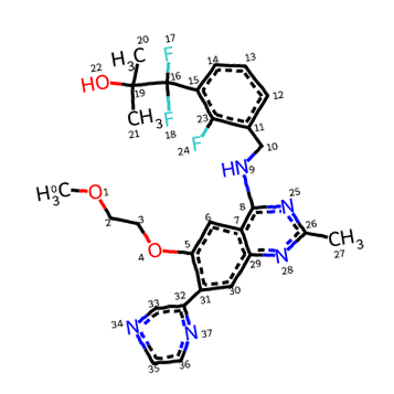 COCCOc1cc2c(NCc3cccc(C(F)(F)C(C)(C)O)c3F)nc(C)nc2cc1-c1cnccn1